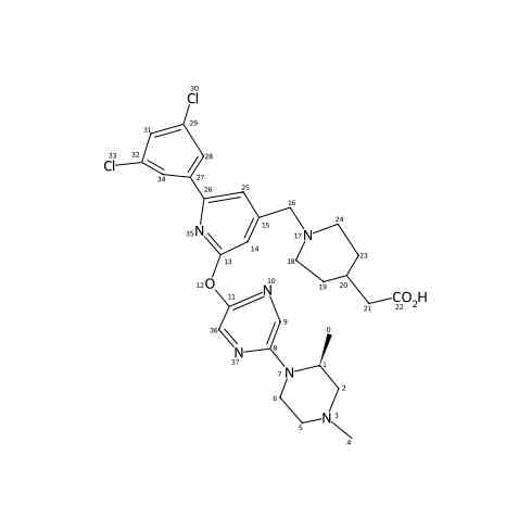 C[C@H]1CN(C)CCN1c1cnc(Oc2cc(CN3CCC(CC(=O)O)CC3)cc(-c3cc(Cl)cc(Cl)c3)n2)cn1